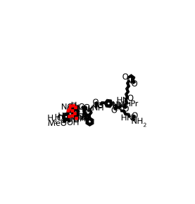 COc1c(C)cc2c(c1O)[C@H]1[C@@H]3[C@@H]4SC[C@]5(N[C@@H](CNC(=O)OCc6ccc(NC(=O)[C@H](CCCCNC(N)=O)NC(=O)[C@@H](NC(=O)CCCCCN7C(=O)C=CC7=O)C(C)C)cc6)Cc6c5[nH]c5ccccc65)C(=O)OC[C@@H](c5c6c(c(C)c(OC(C)=O)c54)OCO6)N3C(C#N)(C2)CN1C